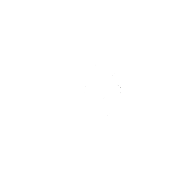 C=CCOC(=O)N(C)C(=O)Cl